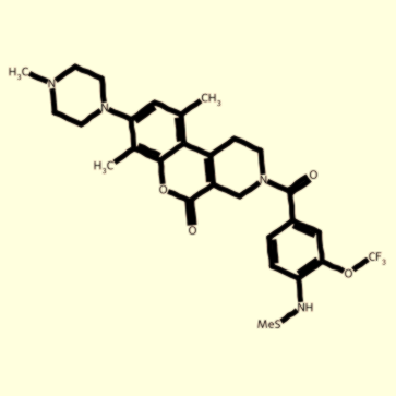 CSNc1ccc(C(=O)N2CCc3c(c(=O)oc4c(C)c(N5CCN(C)CC5)cc(C)c34)C2)cc1OC(F)(F)F